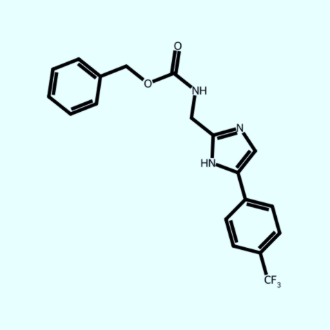 O=C(NCc1ncc(-c2ccc(C(F)(F)F)cc2)[nH]1)OCc1ccccc1